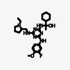 CCN1CCCC1CNc1nc(Nc2ccc(OC)c(F)c2)nc(NC(C)(O)C2CCCCC2)n1